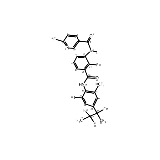 CN(C(=O)c1ccc(F)nc1)c1cccc(C(=O)Nc2c(I)cc(C(F)(C(F)(F)F)C(F)(F)C(F)(F)F)cc2C(F)(F)F)c1F